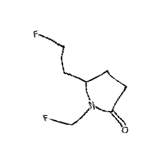 O=C1CCC(CCF)N1CF